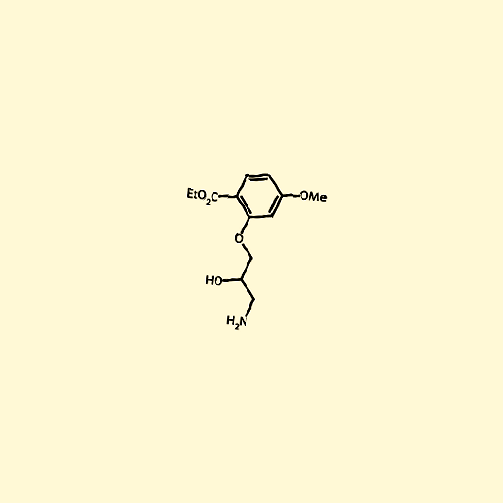 CCOC(=O)c1ccc(OC)cc1OCC(O)CN